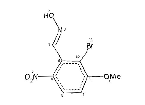 COc1ccc([N+](=O)[O-])c(C=NO)c1Br